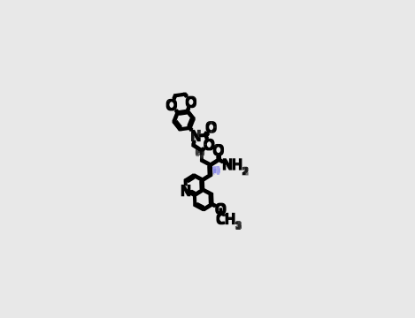 COc1ccc2nccc(/C=C(\C[C@H]3CN(c4ccc5c(c4)OCCO5)C(=O)O3)C(N)=O)c2c1